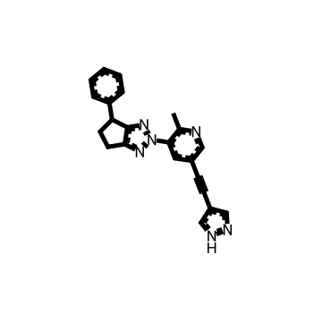 Cc1ncc(C#Cc2cn[nH]c2)cc1-n1nc2c(n1)C(c1ccccc1)CC2